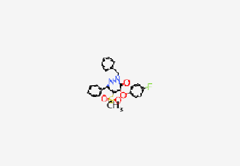 CS(=O)(=O)c1c(-c2ccccc2)nn(Cc2ccccc2)c(=O)c1Oc1ccc(F)cc1